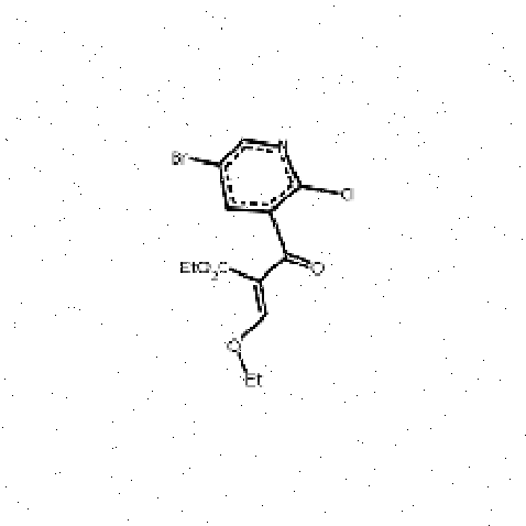 CCO/C=C(\C(=O)OCC)C(=O)c1cc(Br)cnc1Cl